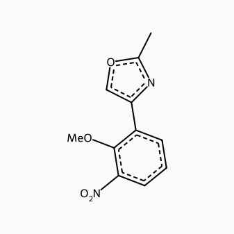 COc1c(-c2coc(C)n2)cccc1[N+](=O)[O-]